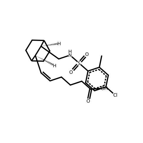 Cc1cc(Cl)ccc1S(=O)(=O)NC[C@@H]1C2CCC(CC2)[C@@H]1/C=C\CCCC(=O)O